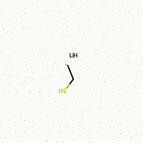 [CH2]CS.[LiH]